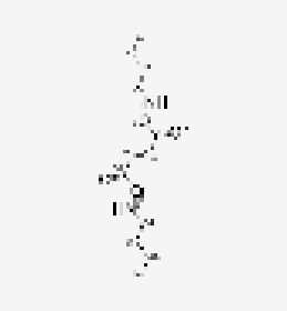 CCCCNOC(=O)/C=C/C(=O)ONCCCC